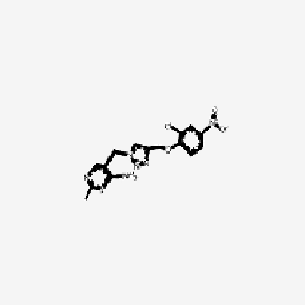 Cc1ncc(Cn2cc(COc3ccc([N+](=O)[O-])cc3Cl)nn2)c(N)n1